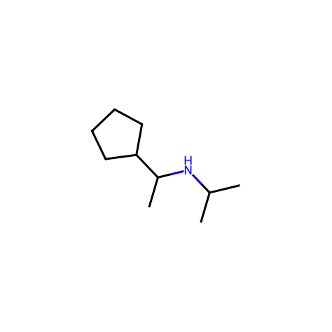 CC(C)NC(C)C1CCCC1